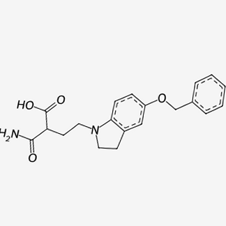 NC(=O)C(CCN1CCc2cc(OCc3ccccc3)ccc21)C(=O)O